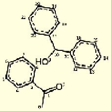 CC(=O)c1ccccc1.OC(c1ccccc1)c1ccccc1